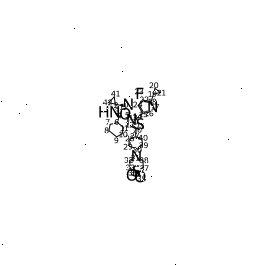 N#CC1(NC(=O)[C@@H]2CCCC[C@H]2c2nc(-c3cnc(C4CC4)c(F)c3)sc2-c2ccc(N3CCS(=O)(=O)CC3)cc2)CC1